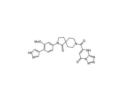 COc1cc(N2CCC3(CCN(C(=O)c4cc(=O)n5nnnc5[nH]4)CC3)C2=O)ccc1-c1cn[nH]c1